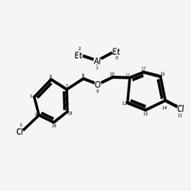 C[CH2][Al][CH2]C.Clc1ccc(COCc2ccc(Cl)cc2)cc1